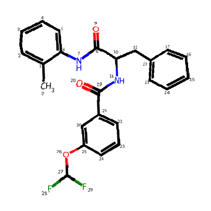 Cc1ccccc1NC(=O)C(Cc1ccccc1)NC(=O)c1cccc(OC(F)F)c1